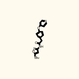 CC(C)(C)c1cc(NC(=O)Cc2ccc(Oc3ccncc3)cc2)no1